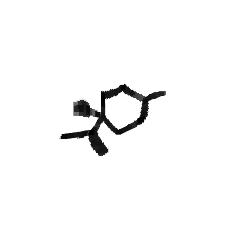 C=C(C)C1(O)CCC(C)CC1